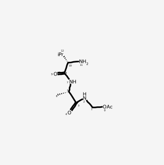 CC(=O)OCNC(=O)[C@H](C)NC(=O)[C@@H](N)C(C)C